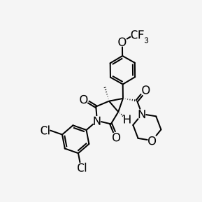 C[C@@]12C(=O)N(c3cc(Cl)cc(Cl)c3)C(=O)[C@@H]1[C@]2(C(=O)N1CCOCC1)c1ccc(OC(F)(F)F)cc1